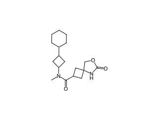 CN(C(=O)C1CC2(COC(=O)N2)C1)C1CC(C2CCCCC2)C1